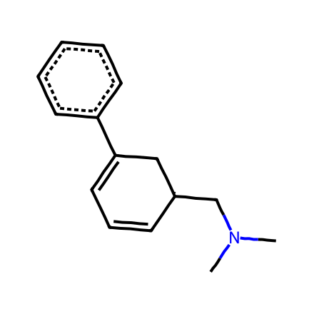 CN(C)C[C]1C=CC=C(c2ccccc2)C1